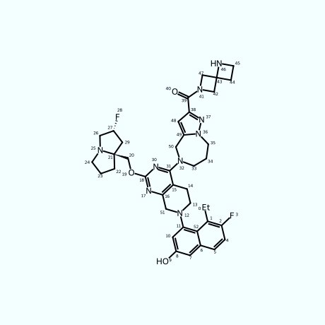 CCc1c(F)ccc2cc(O)cc(N3CCc4c(nc(OC[C@@]56CCCN5C[C@H](F)C6)nc4N4CCCn5nc(C(=O)N6CC7(CCN7)C6)cc5C4)C3)c12